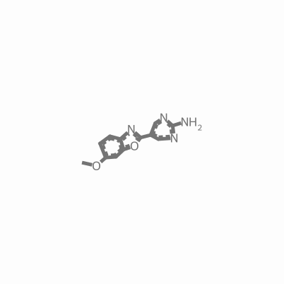 COc1ccc2nc(-c3cnc(N)nc3)oc2c1